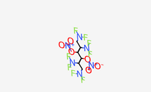 O=[N+]([O-])OC(C(O[N+](=O)[O-])C(CN(F)F)N(F)F)C(CN(F)F)N(F)F